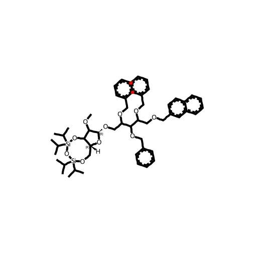 COC1C2O[Si](C(C)C)(C(C)C)O[Si](C(C)C)(C(C)C)OC[C@H]2O[C@H]1OCC(OCc1ccccc1)C(OCc1ccccc1)C(COCc1ccc2ccccc2c1)OCc1ccccc1